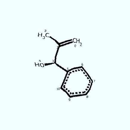 C=C(C)[C@H](O)c1ccccc1